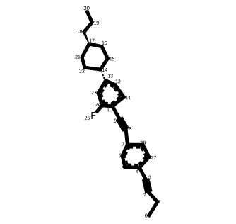 CCC#Cc1ccc(C#Cc2ccc([C@H]3CC[C@H](CCC)CC3)cc2F)cc1